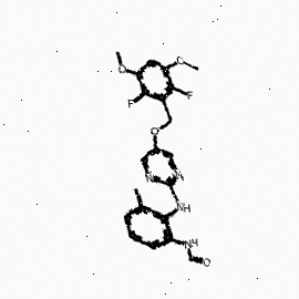 COc1cc(OC)c(F)c(COc2cnc(Nc3c(C)cccc3NC=O)nc2)c1F